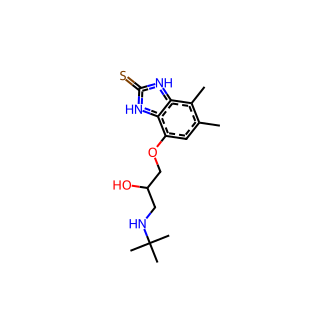 Cc1cc(OCC(O)CNC(C)(C)C)c2[nH]c(=S)[nH]c2c1C